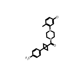 Cc1ccc(Cl)cc1N1CCN(C(=O)C23CC2(c2ccc(C(F)(F)F)cc2)C3)CC1